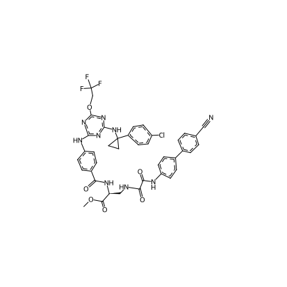 COC(=O)[C@H](CNC(=O)C(=O)Nc1ccc(-c2ccc(C#N)cc2)cc1)NC(=O)c1ccc(Nc2nc(NC3(c4ccc(Cl)cc4)CC3)nc(OCC(F)(F)F)n2)cc1